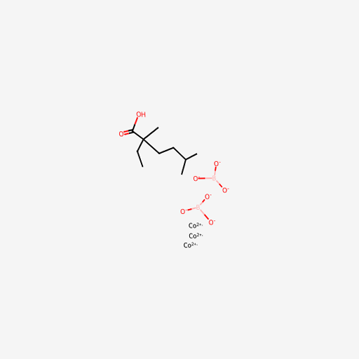 CCC(C)(CCC(C)C)C(=O)O.[Co+2].[Co+2].[Co+2].[O-]B([O-])[O-].[O-]B([O-])[O-]